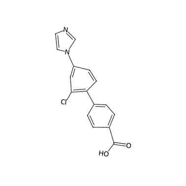 O=C(O)c1ccc(-c2ccc(-n3ccnc3)cc2Cl)cc1